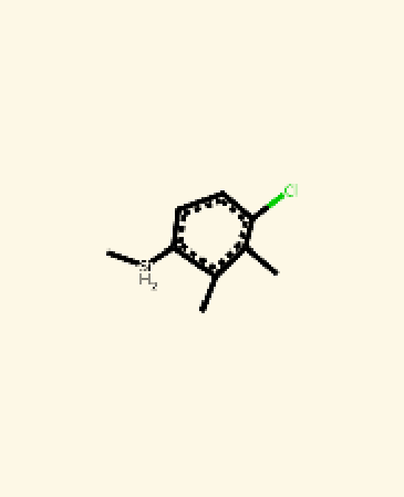 C[SiH2]c1ccc(Cl)c(C)c1C